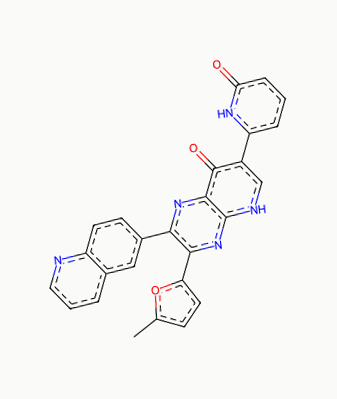 Cc1ccc(-c2nc3[nH]cc(-c4cccc(=O)[nH]4)c(=O)c3nc2-c2ccc3ncccc3c2)o1